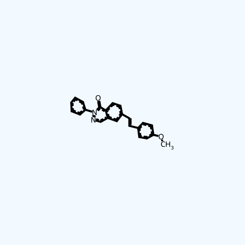 COc1ccc(C=Cc2ccc3c(=O)n(-c4ccccc4)ncc3c2)cc1